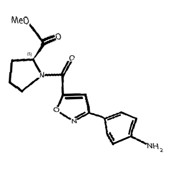 COC(=O)[C@@H]1CCCN1C(=O)c1cc(-c2ccc(N)cc2)no1